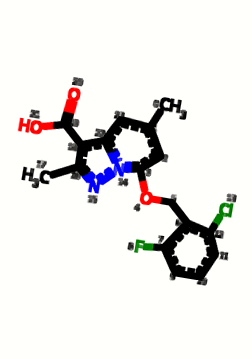 Cc1cc(OCc2c(F)cccc2Cl)n2nc(C)c(C(=O)O)c2c1